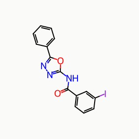 O=C(Nc1nnc(-c2ccccc2)o1)c1cccc(I)c1